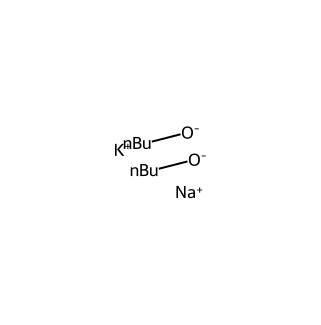 CCCC[O-].CCCC[O-].[K+].[Na+]